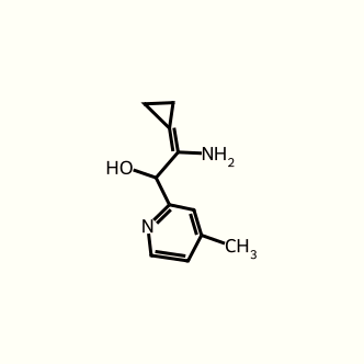 Cc1ccnc(C(O)C(N)=C2CC2)c1